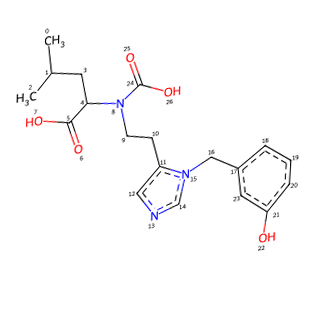 CC(C)CC(C(=O)O)N(CCc1cncn1Cc1cccc(O)c1)C(=O)O